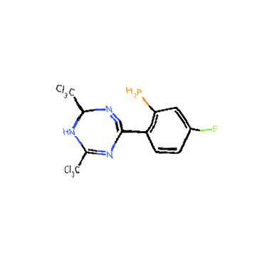 Fc1ccc(C2=NC(C(Cl)(Cl)Cl)NC(C(Cl)(Cl)Cl)=N2)c(P)c1